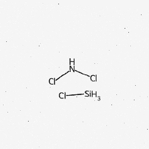 ClNCl.[SiH3]Cl